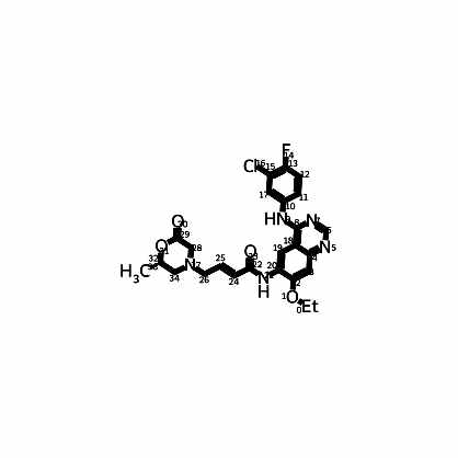 CCOc1cc2ncnc(Nc3ccc(F)c(Cl)c3)c2cc1NC(=O)C=CCN1CC(=O)O[C@H](C)C1